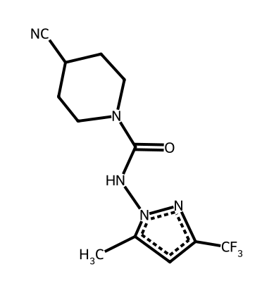 Cc1cc(C(F)(F)F)nn1NC(=O)N1CCC(C#N)CC1